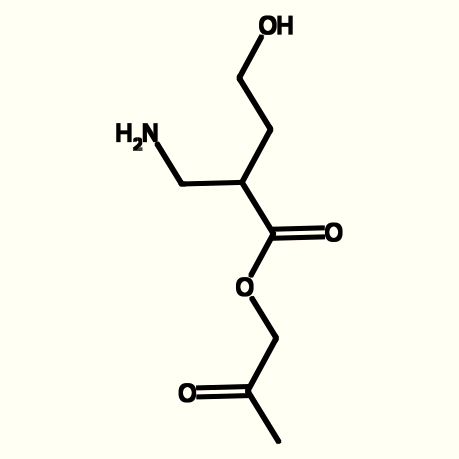 CC(=O)COC(=O)C(CN)CCO